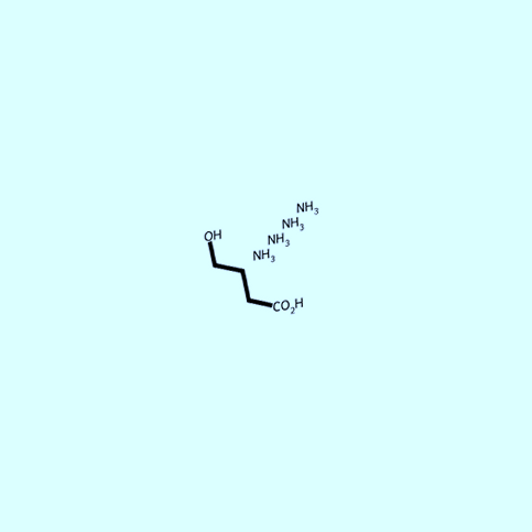 N.N.N.N.O=C(O)CCCO